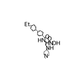 CCc1ccc(-c2ccc(C(=O)NC(CNC3CCN(C)CC3)C(=O)NO)cc2)cc1